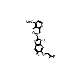 CCCc1cc2nc([S+]([O-])Cc3nccc(OC)c3C)[nH]c2nc1OCC(F)F